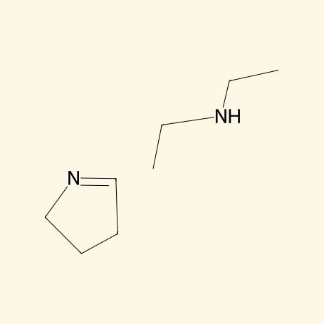 C1=NCCC1.CCNCC